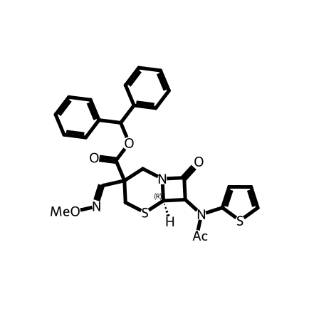 CON=CC1(C(=O)OC(c2ccccc2)c2ccccc2)CS[C@@H]2C(N(C(C)=O)c3cccs3)C(=O)N2C1